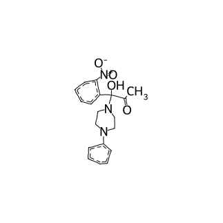 CC(=O)C(O)(c1ccccc1[N+](=O)[O-])N1CCN(c2ccccc2)CC1